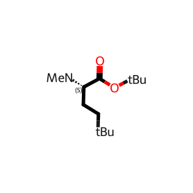 CN[C@@H](CCC(C)(C)C)C(=O)OC(C)(C)C